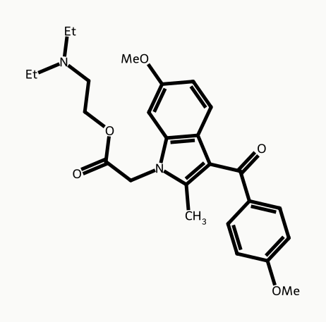 CCN(CC)CCOC(=O)Cn1c(C)c(C(=O)c2ccc(OC)cc2)c2ccc(OC)cc21